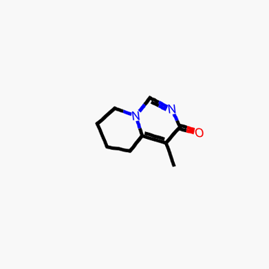 Cc1c2n(cnc1=O)CCCC2